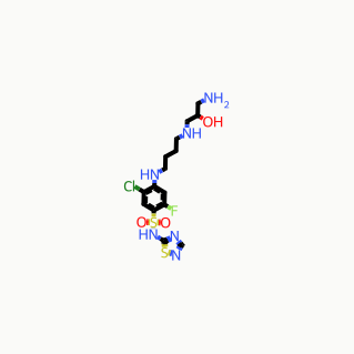 NCC(O)CNCCCCNc1cc(F)c(S(=O)(=O)Nc2ncns2)cc1Cl